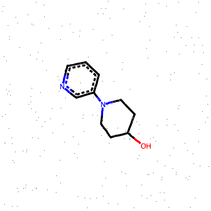 OC1CCN(c2cccnc2)CC1